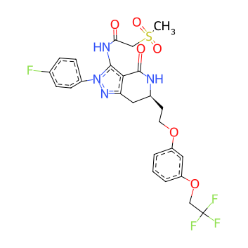 CS(=O)(=O)CC(=O)Nc1c2c(nn1-c1ccc(F)cc1)C[C@H](CCOc1cccc(OCC(F)(F)F)c1)NC2=O